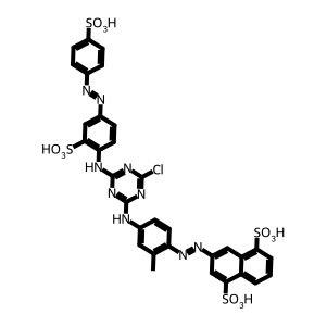 Cc1cc(Nc2nc(Cl)nc(Nc3ccc(/N=N/c4ccc(S(=O)(=O)O)cc4)cc3S(=O)(=O)O)n2)ccc1/N=N/c1cc(S(=O)(=O)O)c2cccc(S(=O)(=O)O)c2c1